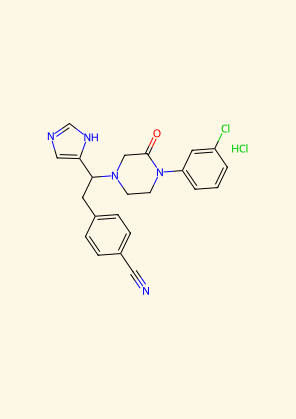 Cl.N#Cc1ccc(CC(c2cnc[nH]2)N2CCN(c3cccc(Cl)c3)C(=O)C2)cc1